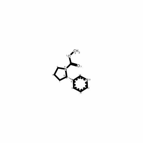 COC(=O)N1CCC[C@H]1c1cccnc1